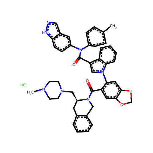 Cc1ccc(N(C(=O)c2cn(-c3cc4c(cc3C(=O)N3Cc5ccccc5C[C@H]3CN3CCN(C)CC3)OCO4)c3ccccc23)c2ccc3[nH]ncc3c2)cc1.Cl